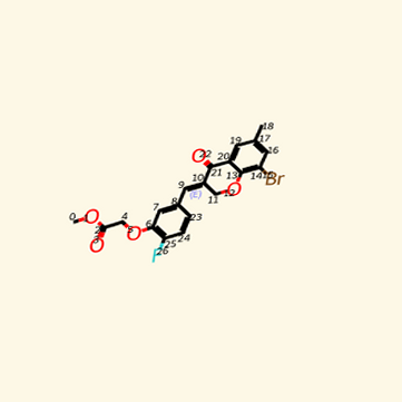 COC(=O)COc1cc(/C=C2\COc3c(Br)cc(C)cc3C2=O)ccc1F